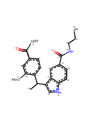 COC(=O)c1ccc(C(C)c2c[nH]c3ccc(C(=O)NCCC(C)C)cc23)c(OC)c1